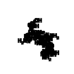 COC1[C@@H](COP(=O)(O)OCCO)O[C@@H](n2cnc3c(N)ncnc32)[C@H]1OP(=O)(O)OC[C@H]1O[C@@H](n2cnc3c(N)ncnc32)[C@@H](OP(O)(=S)OC[C@]23CCCOC2[C@H](OP(=O)(O)S)[C@H](n2cnc4c(N)ncnc42)O3)C1O